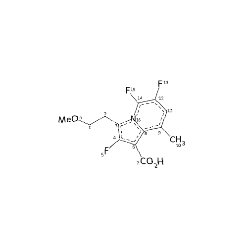 COCCc1c(F)c(C(=O)O)c2c(C)cc(F)c(F)n12